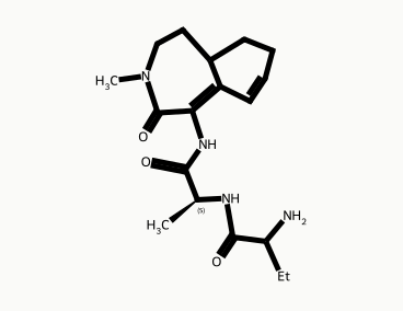 CCC(N)C(=O)N[C@@H](C)C(=O)NC1=C2C=CCCC2CCN(C)C1=O